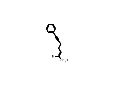 O=C(O)C(Br)=CCCC#Cc1ccccc1